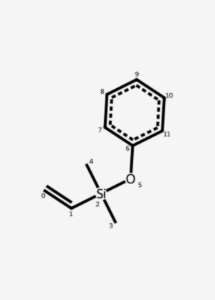 C=C[Si](C)(C)Oc1ccccc1